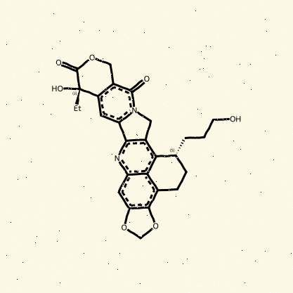 CC[C@@]1(O)C(=O)OCc2c1cc1n(c2=O)Cc2c-1nc1cc3c(c4c1c2[C@H](CCCO)CC4)OCO3